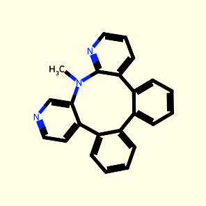 Cn1c2cnccc2c2ccccc2c2ccccc2c2cccnc21